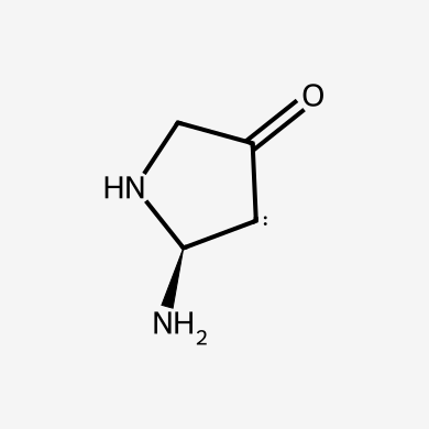 N[C@@H]1[C]C(=O)CN1